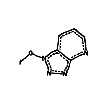 IOn1nnc2ncccc21